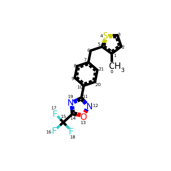 Cc1ccsc1Cc1ccc(-c2noc(C(F)(F)F)n2)cc1